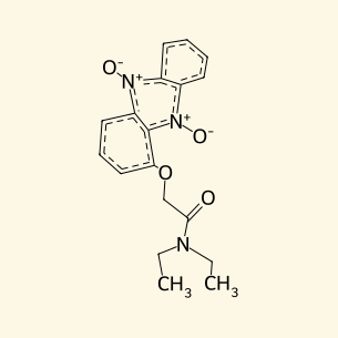 CCN(CC)C(=O)COc1cccc2c1[n+]([O-])c1ccccc1[n+]2[O-]